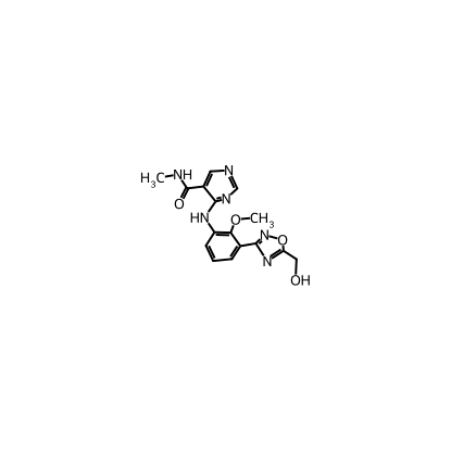 CNC(=O)c1cncnc1Nc1cccc(-c2noc(CO)n2)c1OC